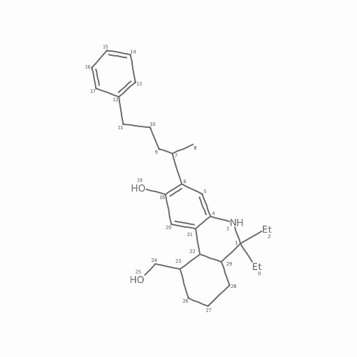 CCC1(CC)Nc2cc(C(C)CCCc3ccccc3)c(O)cc2C2C(CO)CCCC21